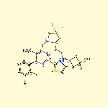 CCOC(=O)C1=C(CN2CC(F)(F)C[C@@H]2CCNC2CC(C)(C(=O)O)C2)NC(c2nccs2)=N[C@H]1c1cccc(F)c1C